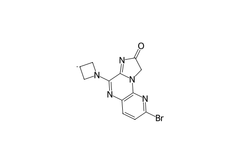 O=C1CN2C(=N1)C(N1C[CH]C1)=Nc1ccc(Br)nc12